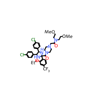 CCOc1cc(C(F)(F)F)ccc1C1(C(=O)N2CCN(CC(=O)N(CCOC)CCOC)CC2)NC(c2ccc(Cl)cc2)C(c2ccc(Cl)cc2)N1